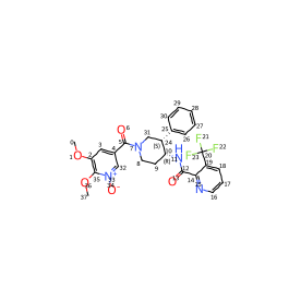 COc1cc(C(=O)N2CC[C@@H](NC(=O)c3ncccc3C(F)(F)F)[C@@H](c3ccccc3)C2)c[n+]([O-])c1OC